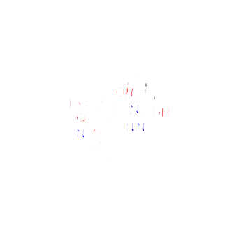 Cc1ccc(CN(C)S(=O)(=O)c2cc(-c3nnc(O)n3-c3ccccc3Cl)c(O)cc2O)cc1